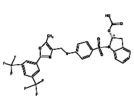 Cc1oc(-c2cc(C(F)(F)F)cc(C(F)(F)F)c2)nc1CSc1ccc(S(=O)(=O)N2c3ccccc3C[C@H]2OC(=O)O)cc1